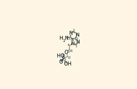 Nc1ncnc2ncn(CCOCP(=O)(O)O)c12